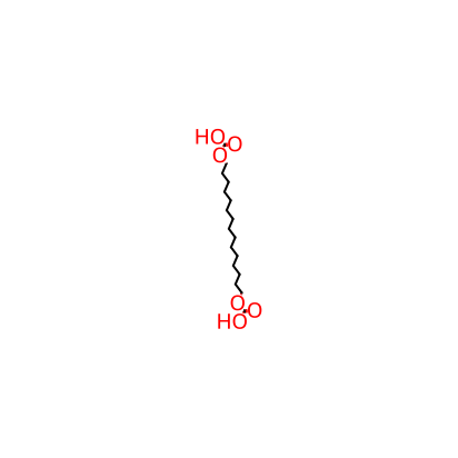 O=C(O)OCCCCCCCCCCCCCCCOC(=O)O